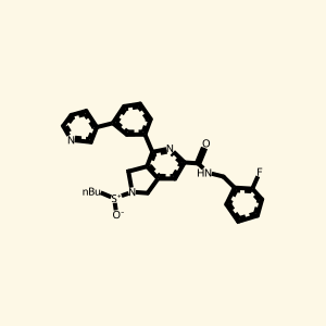 CCCC[S+]([O-])N1Cc2cc(C(=O)NCc3ccccc3F)nc(-c3cccc(-c4cccnc4)c3)c2C1